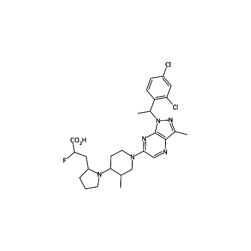 Cc1nn(C(C)c2ccc(Cl)cc2Cl)c2nc(N3CCC(N4CCCC4CC(F)C(=O)O)C(C)C3)cnc12